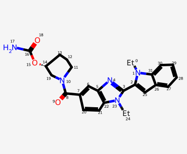 CCn1c(-c2nc3cc(C(=O)N4CCC[C@@H](OC(N)=O)C4)ccc3n2CC)cc2ccccc21